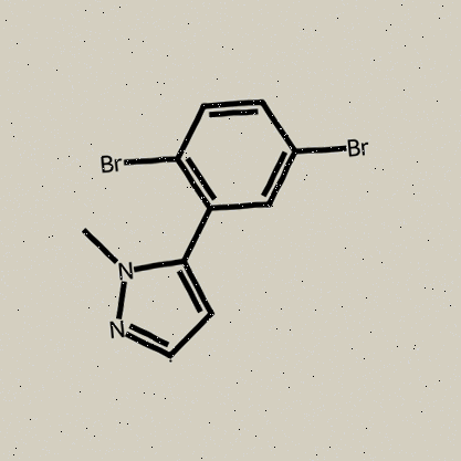 Cn1n[c]cc1-c1cc(Br)ccc1Br